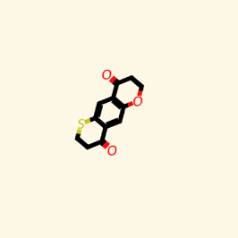 O=C1CCOc2cc3c(cc21)SCCC3=O